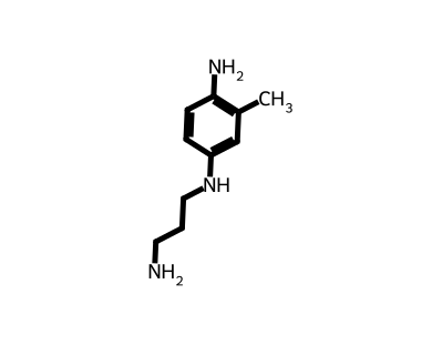 Cc1cc(NCCCN)ccc1N